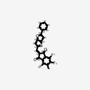 Cc1c(F)c(F)c2c(c1F)C(=O)/C(=C/c1cc3oc(-c4ccccc4)cc3s1)C2=O